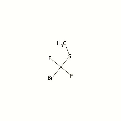 CSC(F)(F)Br